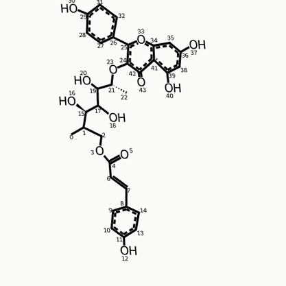 CC(COC(=O)/C=C/c1ccc(O)cc1)[C@@H](O)C(O)C(O)[C@@H](C)Oc1c(-c2ccc(O)cc2)oc2cc(O)cc(O)c2c1=O